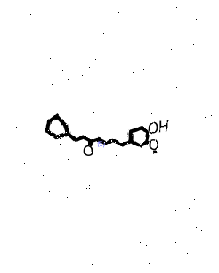 COC1CC(CC/C=C/C(=O)CCC2CCCCC2)CCC1O